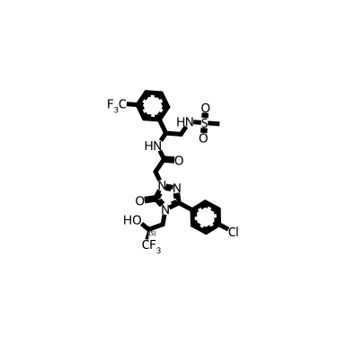 CS(=O)(=O)NCC(NC(=O)Cn1nc(-c2ccc(Cl)cc2)n(C[C@H](O)C(F)(F)F)c1=O)c1cccc(C(F)(F)F)c1